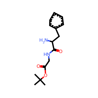 CC(C)(C)OC(=O)CNC(=O)C(N)Cc1ccccc1